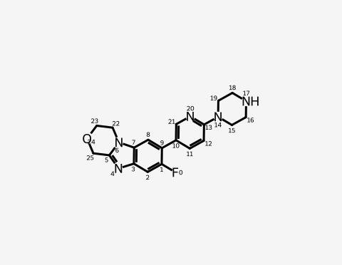 Fc1cc2nc3n(c2cc1-c1ccc(N2CCNCC2)nc1)CCOC3